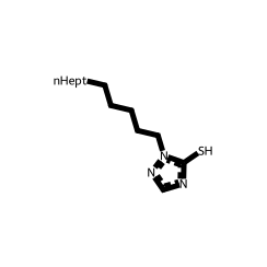 CCCCCCCCCCCCn1ncnc1S